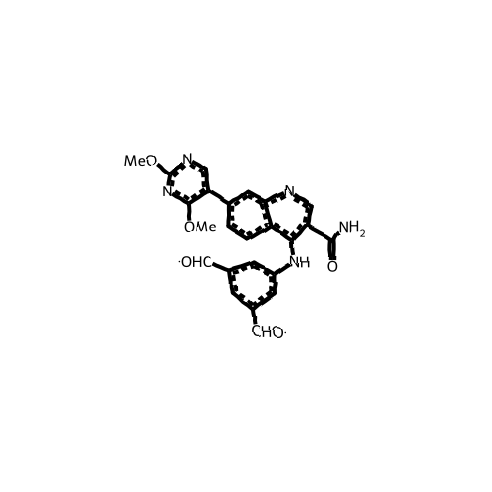 COc1ncc(-c2ccc3c(Nc4cc([C]=O)cc([C]=O)c4)c(C(N)=O)cnc3c2)c(OC)n1